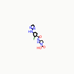 O=C(NC1CCN(C(=O)O)C1)c1ccc(Nc2ncccn2)cc1F